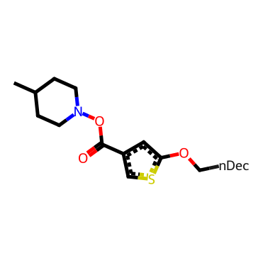 CCCCCCCCCCCOc1cc(C(=O)ON2CCC(C)CC2)cs1